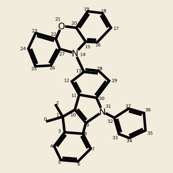 CC1(C)c2ccccc2-c2c1c1cc(N3c4ccccc4Oc4ccccc43)ccc1n2-c1ccccc1